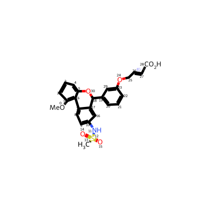 COc1cccc2c1-c1ccc(NS(C)(=O)=O)cc1C(c1cccc(OC/C=C/C(=O)O)c1)O2